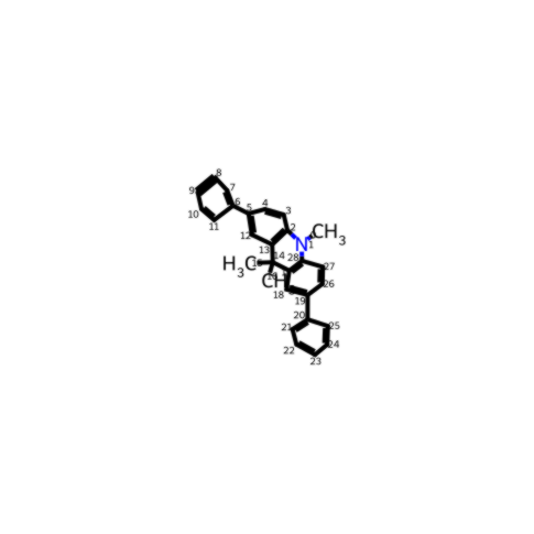 CN1c2ccc(-c3cc#ccc3)cc2C(C)(C)c2cc(-c3ccccc3)ccc21